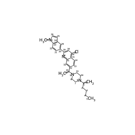 C=C(CCCC)N1CCN(C(=C)c2ccc3c(Cl)cc(-c4ccc5c(ccn5C)c4)nc3c2)CC1